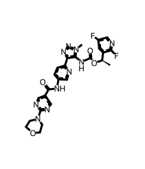 C[C@@H](OC(=O)Nc1c(-c2ccc(NC(=O)c3cnc(N4CCOCC4)nc3)cn2)nnn1C)c1cc(F)cnc1F